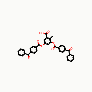 Cc1c(OC(=O)c2ccc(C(=O)c3ccccc3)cc2)cc(OC(=O)c2ccc(C(=O)c3ccccc3)cc2)cc1C(=O)O